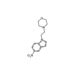 O=[N+]([O-])c1ccc2c(ccn2CCN2CCOCC2)c1